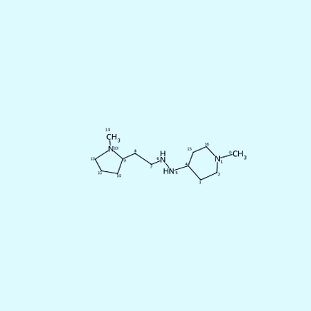 CN1CCC(NNCCC2CCCN2C)CC1